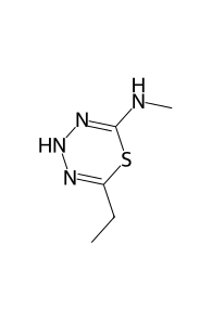 CCC1=NNN=C(NC)S1